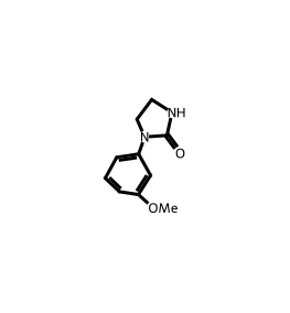 COc1cccc(N2CCNC2=O)c1